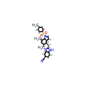 Cc1ccc(S(=O)(=O)n2ccc3c(Cc4nc5cc(C#N)ccc5[nH]4)c(C)cc(C)c32)cc1